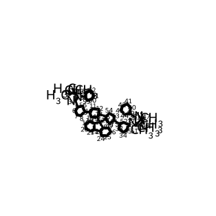 CC1(C)N=C(c2cccc(-c3ccc4c(c3)C3(c5ccccc5-c5ccccc53)c3cc(-c5cccc(N6C(c7ccccc7)=NC(C)(C)C6(C)C)c5)ccc3-4)c2)N(c2ccccc2)C1(C)C